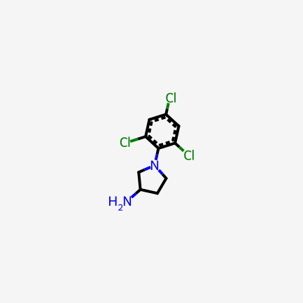 NC1CCN(c2c(Cl)cc(Cl)cc2Cl)C1